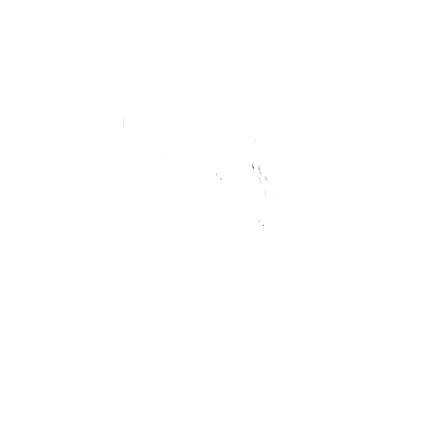 COC(=O)c1ccc(N(c2ccc(Cl)s2)[SH](=O)=O)c(N(c2ccc(Cl)s2)[SH](=O)=O)c1